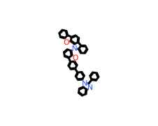 c1ccc(-c2nc3ccccc3n2-c2ccc(-c3ccc4c(c3)oc3c(-n5c6ccccc6c6ccc7c8ccccc8oc7c65)cccc34)cc2)cc1